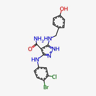 NC(=O)c1c(Nc2ccc(Br)c(Cl)c2)n[nH]c1NCc1ccc(O)cc1